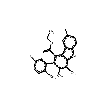 CCOC(=O)c1c(-c2cc(F)ccc2C)c(C)c(C)c2[nH]c3ccc(F)cc3c12